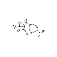 CC1(C)OC(=O)N1C1(c2ccc([N+](=O)[O-])cc2)CC1